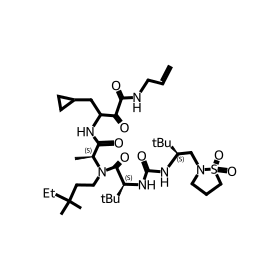 C=CCNC(=O)C(=O)C(CC1CC1)NC(=O)[C@H](C)N(CCC(C)(C)CC)C(=O)[C@@H](NC(=O)N[C@H](CN1CCCS1(=O)=O)C(C)(C)C)C(C)(C)C